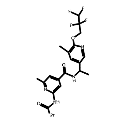 Cc1cc(C(=O)NC(C)c2cnc(OCC(F)(F)C(F)F)c(C)c2)cc(NC(=O)C(C)C)n1